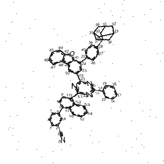 N#Cc1cccc(-c2ccc(-c3nc(-c4ccccc4)nc(-c4cc(-c5ccc(C67CC8CC(CC(C8)C6)C7)cc5)c5oc6ccccc6c5c4)n3)c3ccccc23)c1